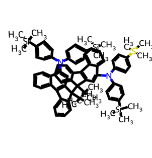 CC(C)(C)C1(C2(C(C)(C)C)c3ccccc3-c3c2cc(N(c2ccc([Si](C)(C)C)cc2)c2ccc(S(C)(C)C)cc2)c2ccccc32)c2ccccc2-c2c1cc(N(c1ccc([Si](C)(C)C)cc1)c1ccc([Si](C)(C)C)cc1)c1ccccc21